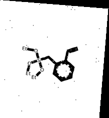 C=Cc1ccccc1C[Si](OCC)(OCC)OCC